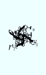 CCCCNC(=O)CCP(=O)(O)CN1CCN(CP(=O)(O)CCC(=O)NCCCC)CCN(CP(=O)(O)CCC(=O)NCCCC)CCN(CP(=O)(O)CCC(=O)NCCCC)CC1